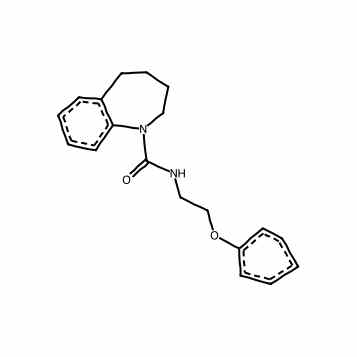 O=C(NCCOc1ccccc1)N1CCCCc2ccccc21